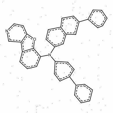 c1ccc(-c2ccc(N(c3ccc4ccc(-c5ccccc5)cc4c3)c3cccc4c3oc3ccncc34)cc2)cc1